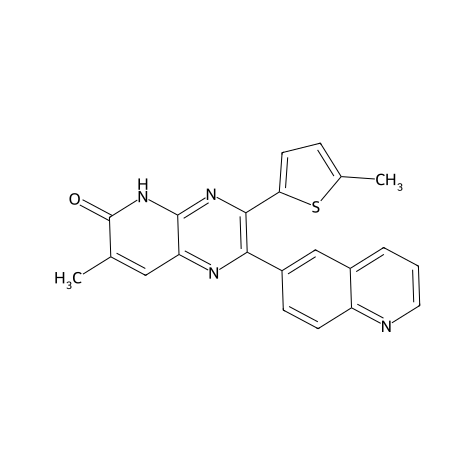 Cc1ccc(-c2nc3[nH]c(=O)c(C)cc3nc2-c2ccc3ncccc3c2)s1